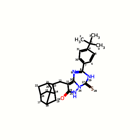 CC(C)(C)c1ccc(-c2nc3c(CC4C5CC6CC(C5)CC4C6)c(=O)[nH]n3c(=S)[nH]2)cc1